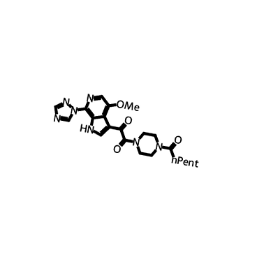 CCCCCC(=O)N1CCN(C(=O)C(=O)c2c[nH]c3c(-n4cncn4)ncc(OC)c23)CC1